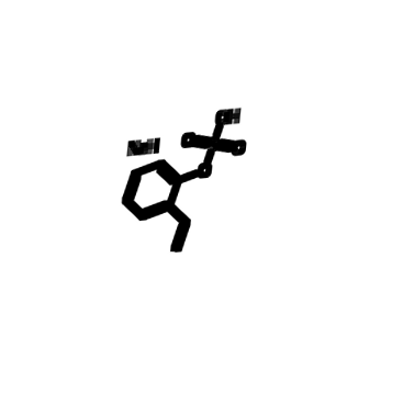 C=Cc1ccccc1OS(=O)(=O)O.[NaH]